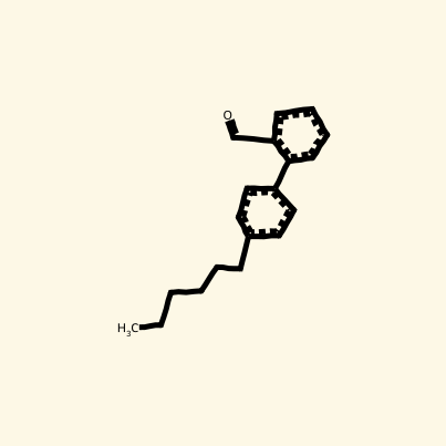 CCCCCCc1ccc(-c2ccccc2C=O)cc1